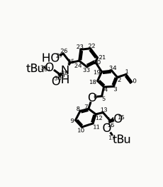 C=Cc1cc(COc2ccccc2CC(=O)OC(C)(C)C)cc(-c2cccc(C(CO)NC(=O)OC(C)(C)C)c2)c1